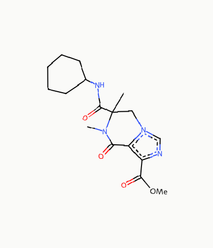 COC(=O)c1ncn2c1C(=O)N(C)C(C)(C(=O)NC1CCCCC1)C2